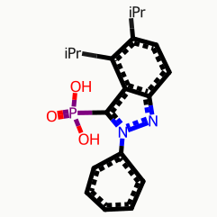 CC(C)c1ccc2nn(-c3ccccc3)c(P(=O)(O)O)c2c1C(C)C